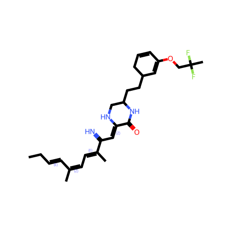 CC/C=C/C(C)=C\C=C(/C)C(=N)/C=C1\NCC(CCC2C=C(OCC(C)(F)F)C=CC2)NC1=O